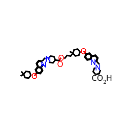 CC1(C)CCC(Oc2ccc3nc(CN4CCC(C(=O)OCCCC5(C)CCC(Oc6ccc7nc(CN8CCC(C(=O)O)CC8)ccc7c6)CC5)CC4)ccc3c2)CC1